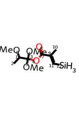 COC(C)C(OC)(OC)OC(=O)C(C)=C[SiH3]